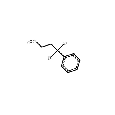 CCCCCCCCCCC(CC)(CC)c1[c]cccc1